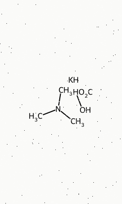 CN(C)C.O=C(O)O.[KH]